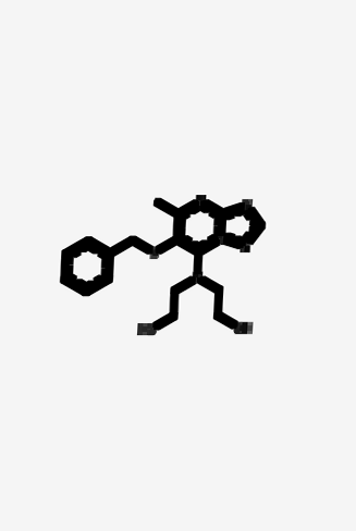 Cc1nc2ncnn2c(N(CCO)CCO)c1SCc1ccccc1